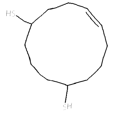 SC1CC/C=C\CCCC(S)CCC1